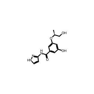 C[C@@H](CO)Oc1cc(O)cc(C(=O)Nc2cc[nH]n2)c1